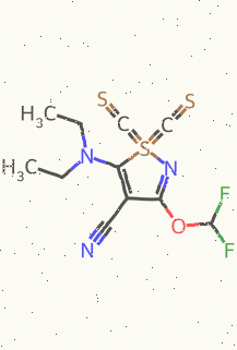 CCN(CC)C1=C(C#N)C(OC(F)F)=NS1(=C=S)=C=S